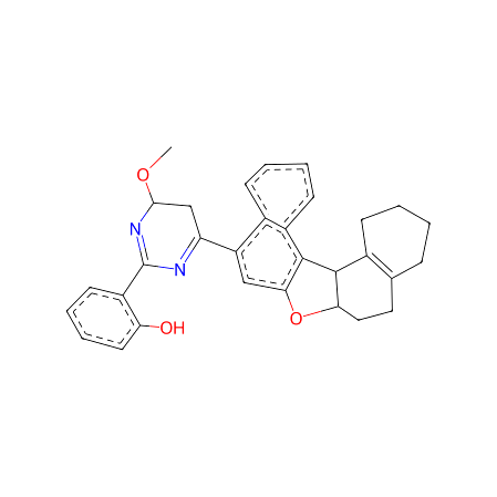 COC1CC(c2cc3c(c4ccccc24)C2C4=C(CCCC4)CCC2O3)=NC(c2ccccc2O)=N1